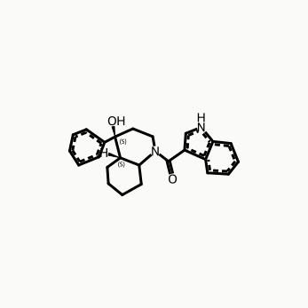 O=C(c1c[nH]c2ccccc12)N1CC[C@@](O)(c2ccccc2)[C@H]2CCCCC21